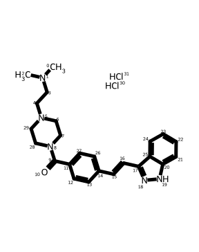 CN(C)CCN1CCN(C(=O)c2ccc(/C=C/c3n[nH]c4ccccc34)cc2)CC1.Cl.Cl